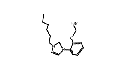 Br.CCCCCCN1C=CN(c2ccccc2OCC)C1